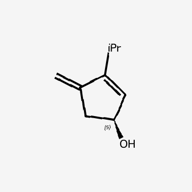 C=C1C[C@H](O)C=C1C(C)C